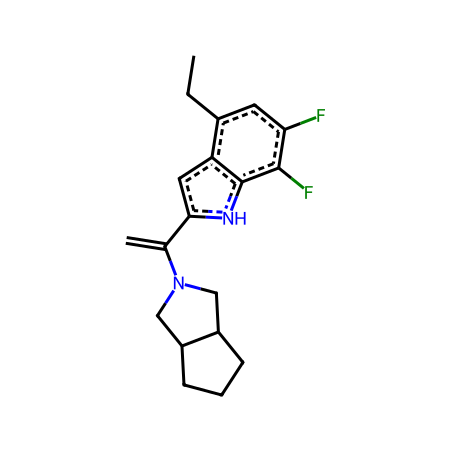 C=C(c1cc2c(CC)cc(F)c(F)c2[nH]1)N1CC2CCCC2C1